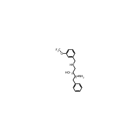 N[C@@H](Cc1ccccc1)[C@H](O)CNCc1cccc(OC(F)(F)F)c1